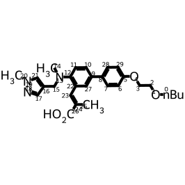 CCCCOCCOc1ccc(-c2ccc(N(C)Cc3cnn(C)c3)c(C=C(C)C(=O)O)c2)cc1